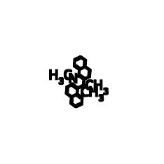 CN1c2ccc3ccccc3c2C(C)(C)c2ccc3ccccc3c21